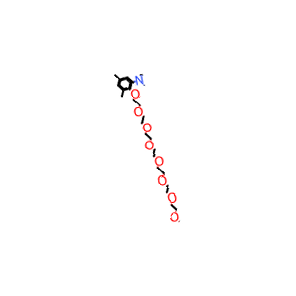 COCCOCCOCCOCCOCCOCCOCCOc1c(C)cc(C)cc1N(C)C